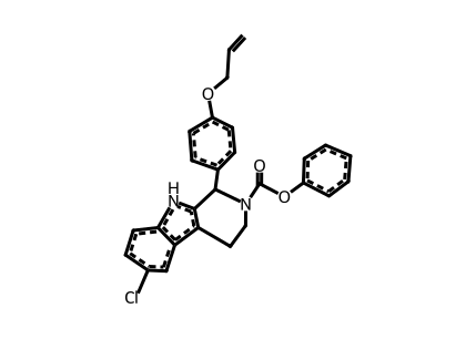 C=CCOc1ccc(C2c3[nH]c4ccc(Cl)cc4c3CCN2C(=O)Oc2ccccc2)cc1